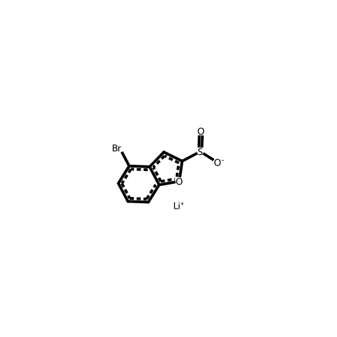 O=S([O-])c1cc2c(Br)cccc2o1.[Li+]